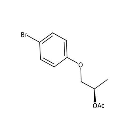 CC(=O)O[C@H](C)COc1ccc(Br)cc1